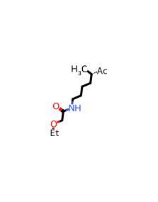 CCOCC(=O)NCCCC[C@H](C)C(C)=O